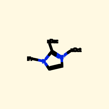 CCCCCCCCCCc1n(C(C)C)cc[n+]1CCCCCCCC